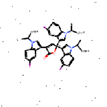 CCCCCC(C)n1cc(C2=CC(c3cn(C(C)CCCCC)c4ccc(I)cc34)(c3cn(C(C)CCCCC)c4ccc(I)cc34)OC2=O)c2cc(I)ccc21